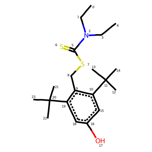 CCN(CC)C(=S)SCc1c(C(C)(C)C)cc(O)cc1C(C)(C)C